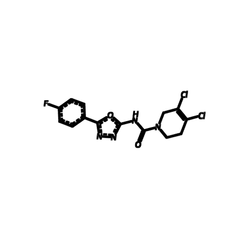 O=C(Nc1nnc(-c2ccc(F)cc2)o1)N1CCC(Cl)=C(Cl)C1